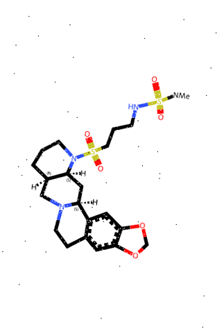 CNS(=O)(=O)NCCCS(=O)(=O)N1CCC[C@@H]2CN3CCc4cc5c(cc4[C@@H]3C[C@@H]21)OCO5